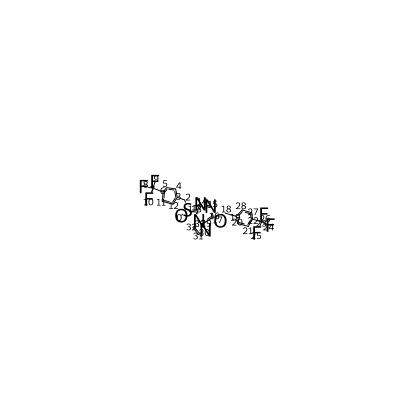 [O-][S+](Cc1ccc(C(F)(F)F)cc1)c1nnc(OCc2ccc(C(F)(F)F)cc2)c2nccn12